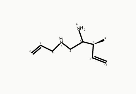 C=CCNCC(N)[C@@H](C)C=C